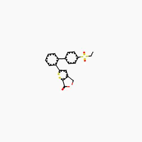 CCS(=O)(=O)c1ccc(-c2ccccc2-c2cc3c(s2)C(=O)OC3)cc1